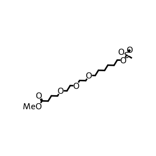 COC(=O)CCCOCCOCCOCCCCCCOS(C)(=O)=O